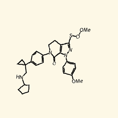 COOSc1nn(-c2ccc(OC)cc2)c2c1CCN(c1ccc(C3(CNC4CCCC4)CC3)cc1)C2=O